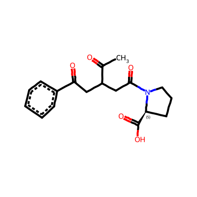 CC(=O)C(CC(=O)c1ccccc1)CC(=O)N1CCC[C@H]1C(=O)O